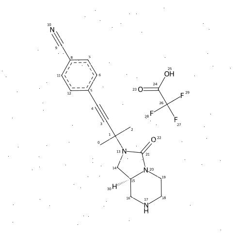 CC(C)(C#Cc1ccc(C#N)cc1)N1C[C@@H]2CNCCN2C1=O.O=C(O)C(F)(F)F